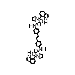 O=C(Nc1ccc(/C=C/c2ccc(NC(=O)[C@@H]3CCCN3C(=O)c3cccc4cc[nH]c34)cc2)cc1)[C@@H]1CCCN1C(=O)C1=CCCc2cc[nH]c21